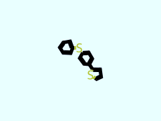 c1ccc(Sc2ccc(-c3cccs3)cc2)cc1